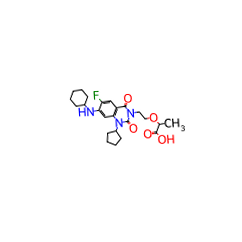 CC(OCCn1c(=O)c2cc(F)c(NC3CCCCC3)cc2n(C2CCCC2)c1=O)C(=O)O